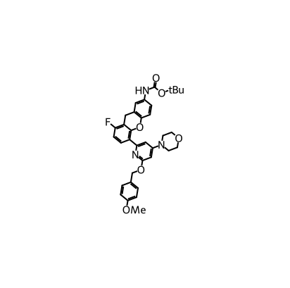 COc1ccc(COc2cc(N3CCOCC3)cc(-c3ccc(F)c4c3Oc3ccc(NC(=O)OC(C)(C)C)cc3C4)n2)cc1